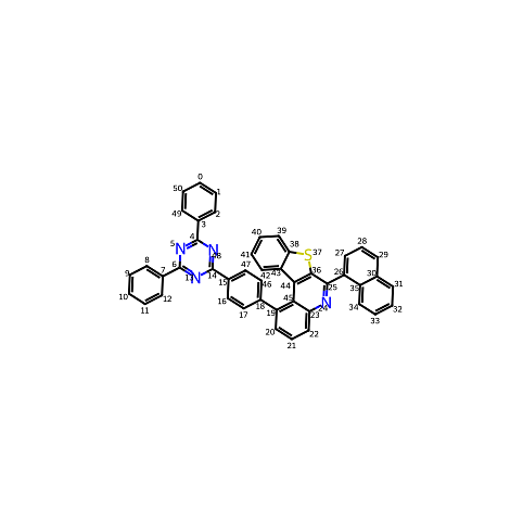 c1ccc(-c2nc(-c3ccccc3)nc(-c3ccc(-c4cccc5nc(-c6cccc7ccccc67)c6sc7ccccc7c6c45)cc3)n2)cc1